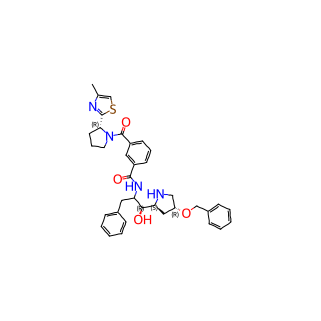 Cc1csc([C@H]2CCCN2C(=O)c2cccc(C(=O)NC(Cc3ccccc3)[C@H](O)[C@@H]3C[C@@H](OCc4ccccc4)CN3)c2)n1